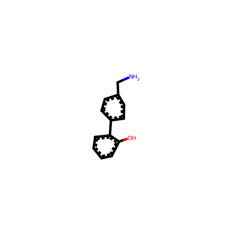 NCc1ccc(-c2[c]cccc2O)cc1